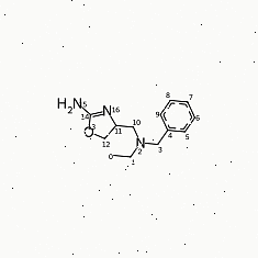 CCN(Cc1ccccc1)CC1COC(N)=N1